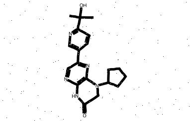 CC(C)(O)c1ccc(-c2cnc3c(n2)N(C2CCCC2)CC(=O)N3)cn1